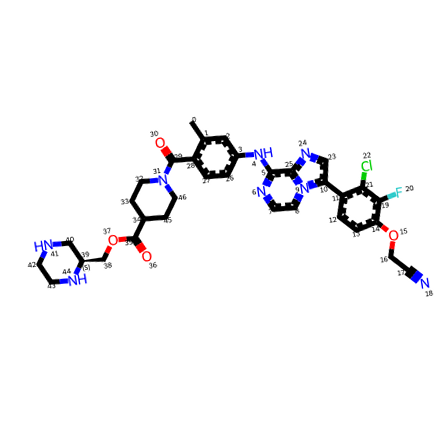 Cc1cc(Nc2nccn3c(-c4ccc(OCC#N)c(F)c4Cl)cnc23)ccc1C(=O)N1CCC(C(=O)OC[C@@H]2CNCCN2)CC1